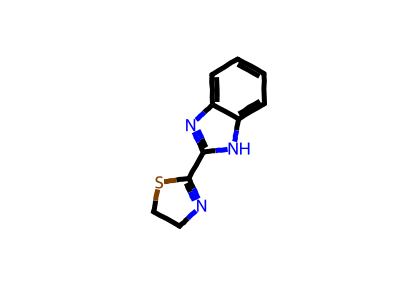 c1ccc2[nH]c(C3=NCCS3)nc2c1